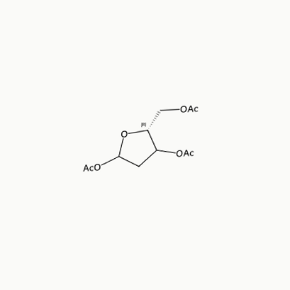 CC(=O)OC[C@H]1OC(OC(C)=O)CC1OC(C)=O